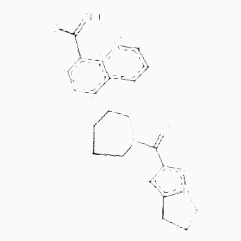 CC(=N)c1ccc([C@H]2C[C@@H](C)CN(C(=O)c3cc4n(n3)CCC4)C2)c2cccnc12